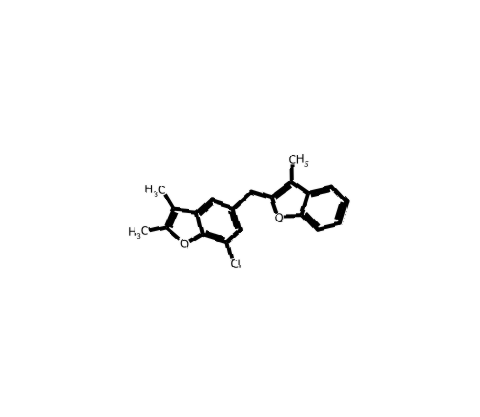 Cc1oc2c(Cl)cc(Cc3oc4ccccc4c3C)cc2c1C